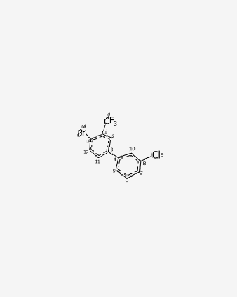 FC(F)(F)c1cc(-c2cccc(Cl)c2)ccc1Br